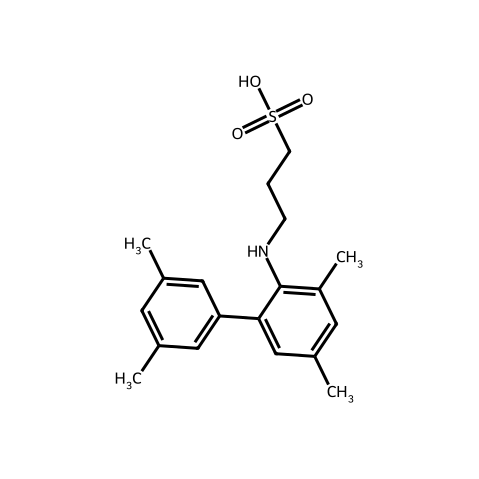 Cc1cc(C)cc(-c2cc(C)cc(C)c2NCCCS(=O)(=O)O)c1